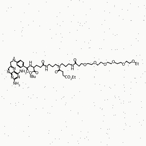 CCOCCOCCOCCOCCOCCOCCC(=O)NCCCN(CCCNC(=O)CCC(NC(=O)c1ccc(N(C)Cc2cnc3nc(N)nc(N)c3n2)cc1)C(=O)OC(C)(C)C)C(=O)CCC(=O)OCC